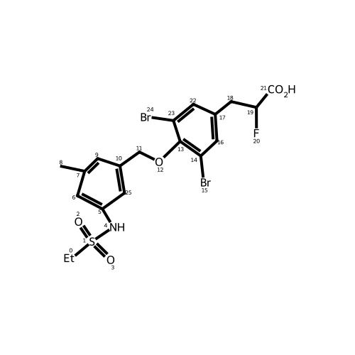 CCS(=O)(=O)Nc1cc(C)cc(COc2c(Br)cc(CC(F)C(=O)O)cc2Br)c1